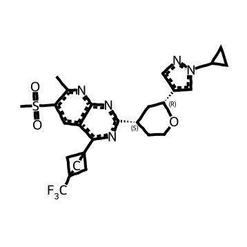 Cc1nc2nc([C@H]3CCO[C@@H](c4cnn(C5CC5)c4)C3)nc(C34CC(C(F)(F)F)(C3)C4)c2cc1S(C)(=O)=O